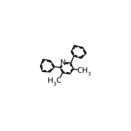 Cc1cc(C)c(-c2ccccc2)nc1-c1ccccc1